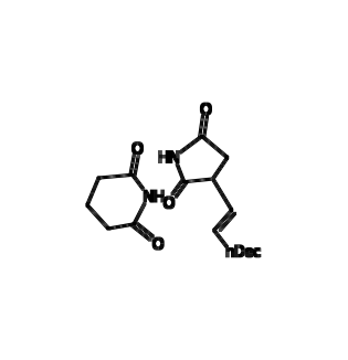 CCCCCCCCCCC=CC1CC(=O)NC1=O.O=C1CCCC(=O)N1